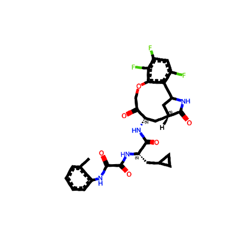 Cc1ccccc1NC(=O)C(=O)N[C@@H](CC1CC1)C(=O)N[C@H]1C[C@@H]2CC(NC2=O)c2c(F)cc(F)c(F)c2OCC1=O